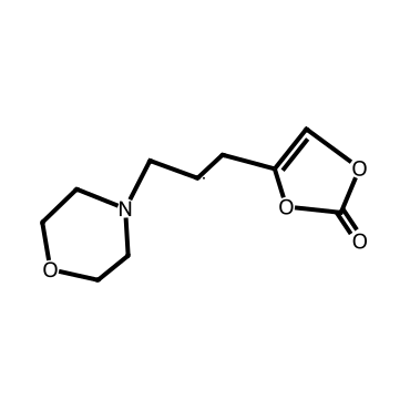 O=c1occ(C[CH]CN2CCOCC2)o1